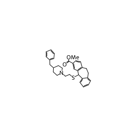 COC(=O)c1ccc2c(c1)C(SCCN1CCC(Cc3ccccc3)CC1)c1ccccc1CC2